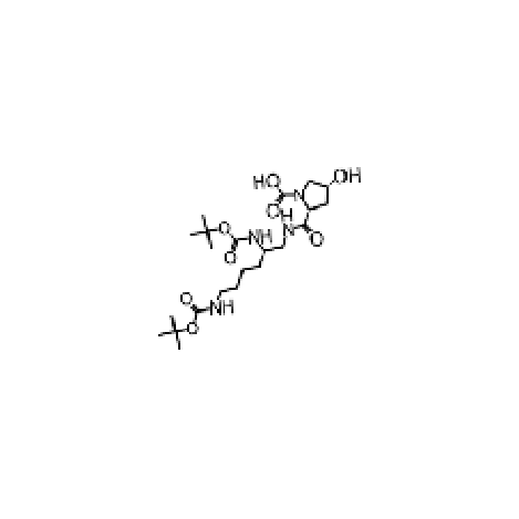 CC(C)(C)OC(=O)NCCCC[C@H](CNC(=O)[C@@H]1C[C@@H](O)CN1C(=O)O)NC(=O)OC(C)(C)C